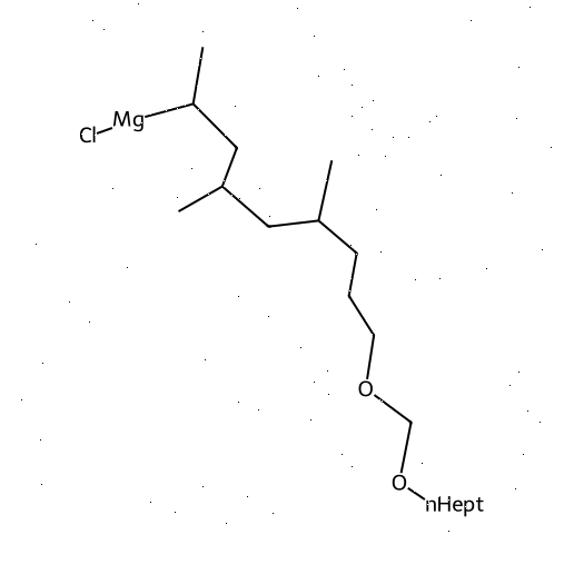 CCCCCCCOCOCCCC(C)CC(C)C[CH](C)[Mg][Cl]